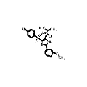 COc1cccc(-c2nc(S(=O)(=O)c3ccc(Cl)cc3)c(S(=O)(=O)C(C)C)[nH]2)c1